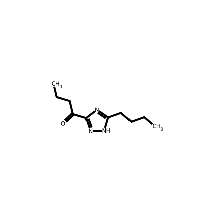 CCCCc1nc(C(=O)CCC)n[nH]1